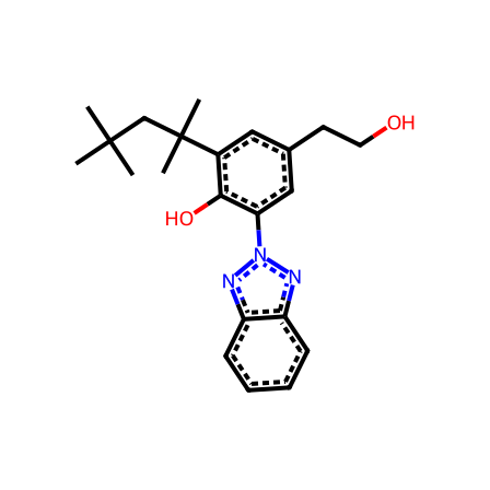 CC(C)(C)CC(C)(C)c1cc(CCO)cc(-n2nc3ccccc3n2)c1O